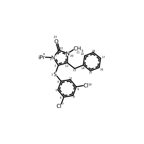 CC(C)n1c(Sc2cc(Cl)cc(Cl)c2)c(Cc2ccccc2)n(C)c1=O